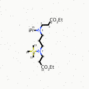 CCOC(=O)CCN(CCCN(CCC(=O)OCC)S(C)(C)C)C(C)C